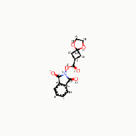 O=C(ON1C(=O)c2ccccc2C1=O)C1CC2(C1)OCCO2